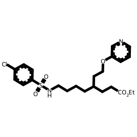 CCOC(=O)CCC(CCCCNS(=O)(=O)c1ccc(Cl)cc1)CCOc1cccnc1